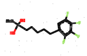 CO[Si](O)(O)CCCCCc1cc(F)c(F)c(F)c1F